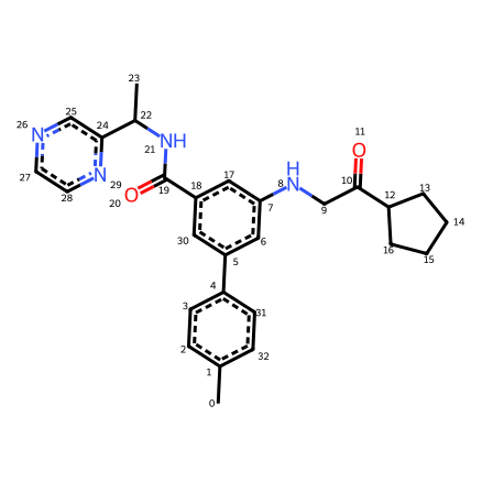 Cc1ccc(-c2cc(NCC(=O)C3CCCC3)cc(C(=O)NC(C)c3cnccn3)c2)cc1